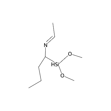 CC=NC(CCC)[SiH](OC)OC